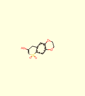 O=S1(=O)C=C(O)Cc2cc3c(cc21)OCCO3